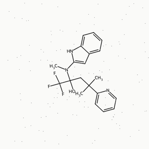 CN(c1cc2ccccc2[nH]1)C(O)(CC(C)(C)c1ccccn1)C(F)(F)F